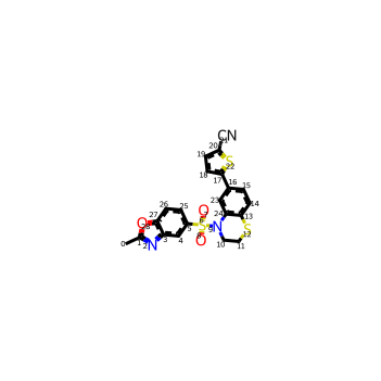 Cc1nc2cc(S(=O)(=O)N3CCSc4ccc(-c5ccc(C#N)s5)cc43)ccc2o1